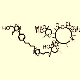 CC[C@H]1OC(=O)[C@H](C)[C@@H](C2C[C@@](C)(OC)[C@@H](O)[C@H](C)O2)[C@H](C)[C@@H](O[C@@H]2O[C@H](C)C[C@H](N(C)CCc3cn(CCCCc4ccc(-n5nnc(CO)c5I)cc4)nn3)[C@H]2O)[C@](C)(O)C[C@@H](C)CN(C)[C@H](C)[C@@H](O)[C@]1(C)O